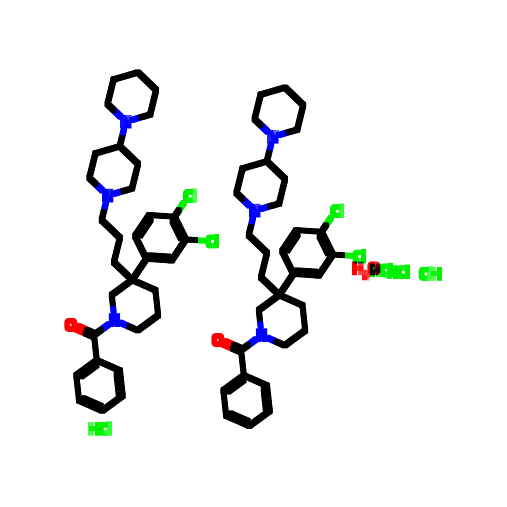 Cl.Cl.Cl.Cl.O.O=C(c1ccccc1)N1CCCC(CCCN2CCC(N3CCCCC3)CC2)(c2ccc(Cl)c(Cl)c2)C1.O=C(c1ccccc1)N1CCCC(CCCN2CCC(N3CCCCC3)CC2)(c2ccc(Cl)c(Cl)c2)C1